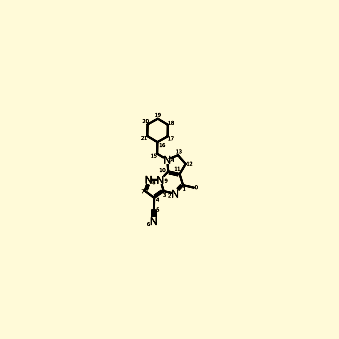 Cc1nc2c(C#N)cnn2c2c1CCN2CC1CCCCC1